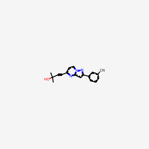 CC(C)(O)C#Cc1ccn2nc(-c3cccc(C#N)c3)cc2n1